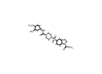 CC(=O)N1CCc2cc(S(=O)(=O)N3CCN(C(=O)Nc4ccc(C)c(O)c4)CC3)ccc21